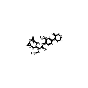 NC[C@H](C(=O)Nc1ccc(N2CCOCC2=O)cc1C(F)(F)F)N(CC1CC1)CC1CC1